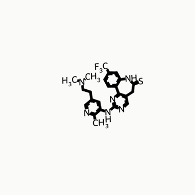 Cc1ncc(CCN(C)C)cc1Nc1ncc2c(n1)-c1ccc(C(F)(F)F)cc1NC(=S)C2